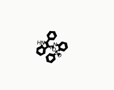 O=S(=O)(c1ccccc1)c1ccccc1N=Nc1c(-c2ccccc2)[nH]c2ccccc12